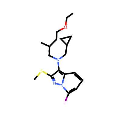 CCOCCC(C)CN(CC1CC1)c1c(SC)nn2c(I)cccc12